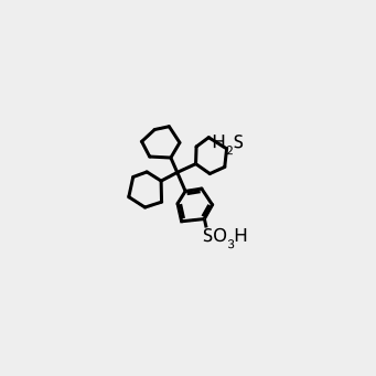 O=S(=O)(O)c1ccc(C(C2CCCCC2)(C2CCCCC2)C2CCCCC2)cc1.S